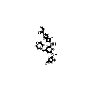 C=CC(=O)N1CC2(CC(Nc3cc(CN4CCOCC4)cc(Nc4ncc(C)s4)n3)C2)C1